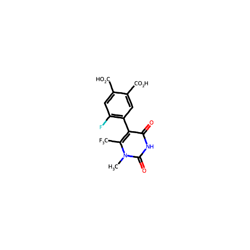 Cn1c(C(F)(F)F)c(-c2cc(C(=O)O)c(C(=O)O)cc2F)c(=O)[nH]c1=O